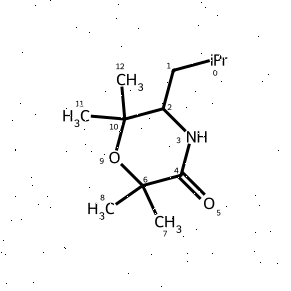 CC(C)CC1NC(=O)C(C)(C)OC1(C)C